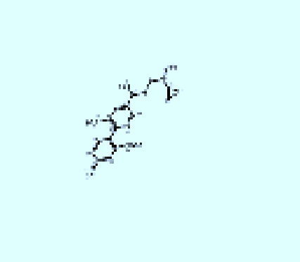 CCCN(CCC(O)c1cc(C)c(-c2ccc(C(F)(F)F)cc2OC)nn1)C1CC1